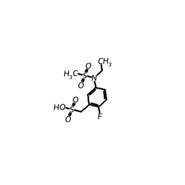 CCN(c1ccc(F)c(CS(=O)(=O)O)c1)S(C)(=O)=O